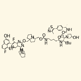 CCc1c(F)ccc2cc(O)cc(-c3ncc4c(N5CC6CCC(C5)N6)nc(OCC56CCCN5[C@@H](COC(=O)NCCCCC(=O)NC(C(=O)N5C[C@H](O)C[C@H]5C(=O)N[C@@H](C)c5ccc(-c7scnc7C)cc5)C(C)(C)C)CC6)nc4c3F)c12